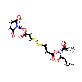 CCC(=O)N(OC(=O)CCSSCCC(=O)ON1C(=O)CCC1=O)C(C)=O